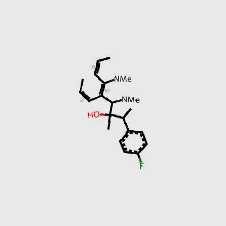 C\C=C/C(NC)=C(\C=C/C)C(NC)C(C)(O)C(C)c1ccc(F)cc1